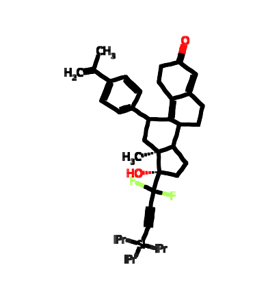 C=C(C)c1ccc(C2C[C@@]3(C)C(CC[C@@]3(O)C(F)(F)C#C[Si](C(C)C)(C(C)C)C(C)C)C3CCC4=CC(=O)CCC4=C23)cc1